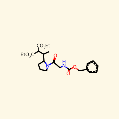 CCOC(=O)C(C(=O)OCC)C(C)C1CCCN1C(=O)CNC(=O)OCc1ccccc1